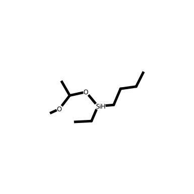 CCCC[SiH](CC)OC(C)OC